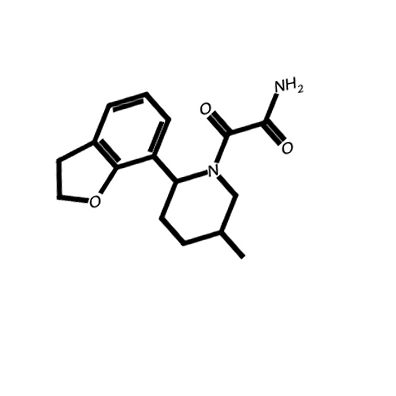 CC1CCC(c2cccc3c2OCC3)N(C(=O)C(N)=O)C1